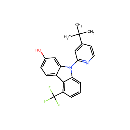 CC(C)(C)c1ccnc(-n2c3cc(O)ccc3c3c(C(F)(F)F)cccc32)c1